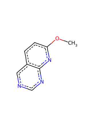 COc1ccc2cncnc2n1